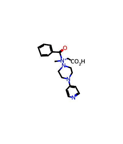 C[N+](CC(=O)O)(C(=O)c1ccccc1)N1CCN(c2ccncc2)CC1